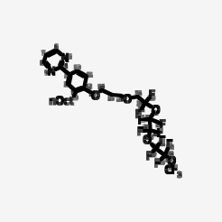 CCCCCCCCc1cc(-c2ncccn2)ccc1OCCCOCC(F)(F)OC(F)(F)C(F)(F)OC(F)(F)C(F)(F)OC(F)(F)F